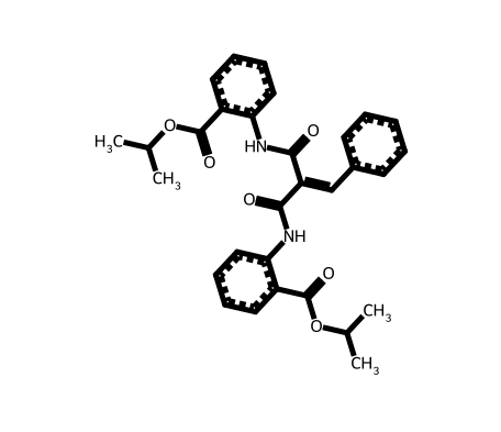 CC(C)OC(=O)c1ccccc1NC(=O)C(=Cc1ccccc1)C(=O)Nc1ccccc1C(=O)OC(C)C